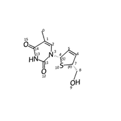 Cc1cn([C@@H]2C=C[C@H](CO)S2)c(=O)[nH]c1=O